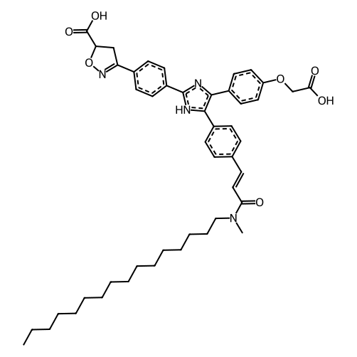 CCCCCCCCCCCCCCCCN(C)C(=O)/C=C/c1ccc(-c2[nH]c(-c3ccc(C4=NOC(C(=O)O)C4)cc3)nc2-c2ccc(OCC(=O)O)cc2)cc1